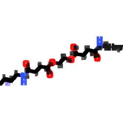 C/C=C/CNC(=O)CCC(=O)OCCOC(=O)CCC(=O)NCCCCCCC